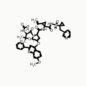 C=CC1CC1(NC(=O)C1CC(Oc2cc(-c3ccccc3)nc3cc(OC)ccc23)CN1C(=O)C(NC(=O)O)C(C)(C)C)C(=O)NS(=O)(=O)C1(Cc2cccnc2)CC1